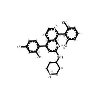 Fc1ccc(-c2cc(NC3CCNCC3)nc3c(-c4c(Cl)cccc4Cl)nccc23)c(F)c1